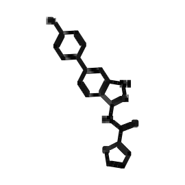 CC(C)c1ccc(-c2ccc3c(NC(=O)c4ccco4)n[nH]c3c2)cc1